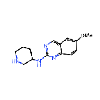 COc1ccc2nc(NC3CCCNC3)ncc2c1